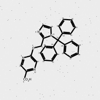 O=C(O)c1cnc(OCc2nccn2C(c2ccccc2)(c2ccccc2)c2ccccc2)cn1